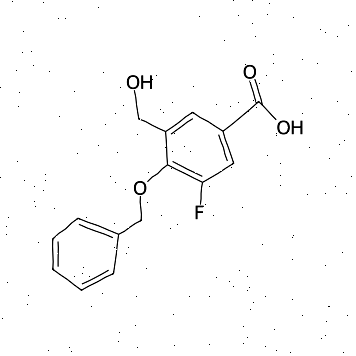 O=C(O)c1cc(F)c(OCc2ccccc2)c(CO)c1